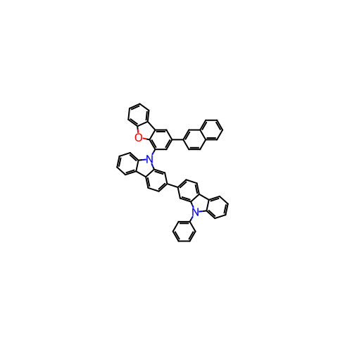 c1ccc(-n2c3ccccc3c3ccc(-c4ccc5c6ccccc6n(-c6cc(-c7ccc8ccccc8c7)cc7c6oc6ccccc67)c5c4)cc32)cc1